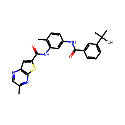 Cc1cnc2cc(C(=O)Nc3cc(NC(=O)c4cccc(C(C)(C)C#N)c4)ccc3C)sc2n1